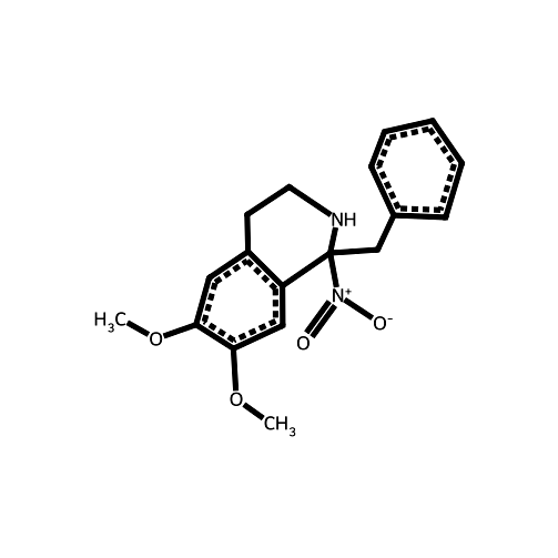 COc1cc2c(cc1OC)C(Cc1ccccc1)([N+](=O)[O-])NCC2